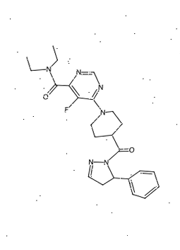 CCN(CC)C(=O)c1ncnc(N2CCC(C(=O)N3N=CCC3c3ccccc3)CC2)c1F